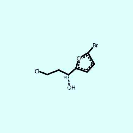 O[C@H](CCCl)c1ccc(Br)o1